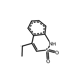 C[CH]C1=CS(=O)(=O)Nc2ccccc21